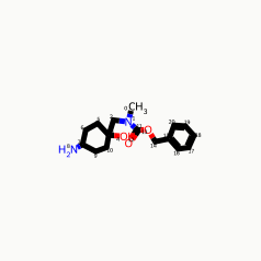 CN(CC1(O)CCC(N)CC1)C(=O)OCc1ccccc1